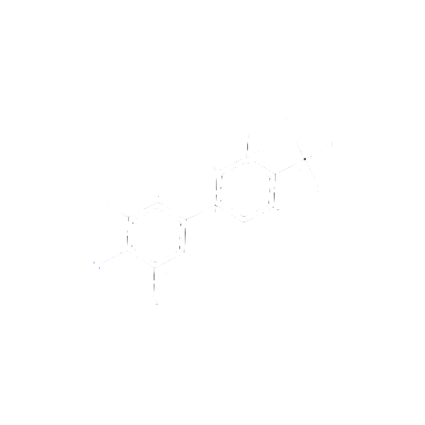 Nc1c(F)cc(-c2ccc(C(F)(F)F)c(F)c2)cc1Br